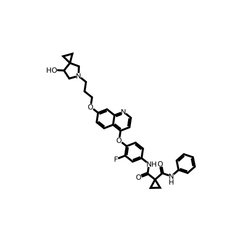 O=C(Nc1ccccc1)C1(C(=O)Nc2ccc(Oc3ccnc4cc(OCCCN5CC(O)C6(CC6)C5)ccc34)c(F)c2)CC1